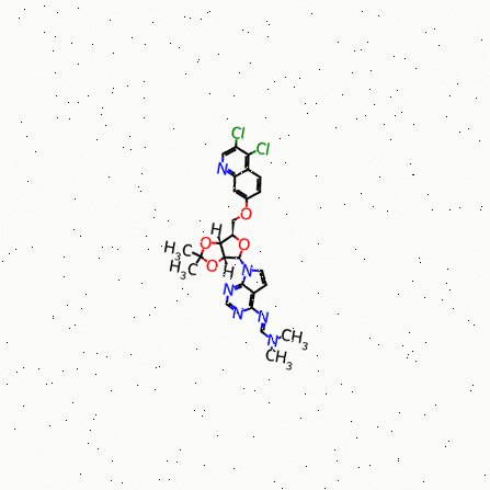 CN(C)/C=N/c1ncnc2c1ccn2[C@@H]1O[C@H](COc2ccc3c(Cl)c(Cl)cnc3c2)[C@H]2OC(C)(C)O[C@H]21